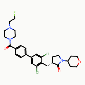 O=C(c1ccc(-c2cc(Cl)c(C[C@@H]3CCN(C4CCOCC4)C3=O)c(Cl)c2)cc1)N1CCN(CCF)CC1